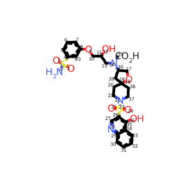 NS(=O)(=O)c1cccc(OCC(O)CN(C(=O)O)C2COC3(CCN(S(=O)(=O)c4cnc5ccccc5c4O)CC3)C2)c1